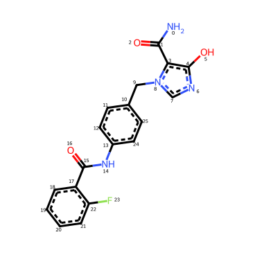 NC(=O)c1c(O)ncn1Cc1ccc(NC(=O)c2ccccc2F)cc1